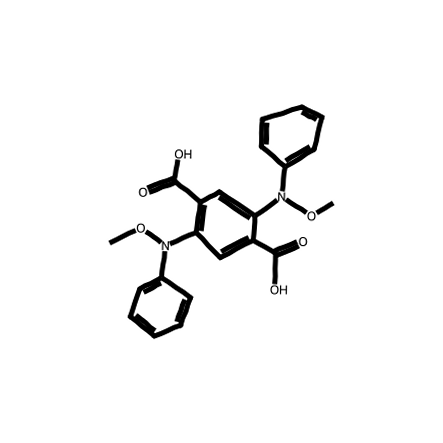 CON(c1ccccc1)c1cc(C(=O)O)c(N(OC)c2ccccc2)cc1C(=O)O